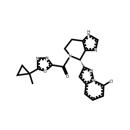 CC1(c2nnc(C(=O)N3CCc4[nH]cnc4[C@@H]3c3cc4cccc(Cl)n4n3)o2)CC1